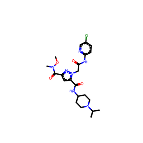 CON(C)C(=O)c1cc(C(=O)NC2CCN(C(C)C)CC2)n(CC(=O)Nc2ccc(Cl)cn2)n1